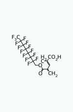 C=C(C=C(C)C(=O)O)C(=O)OCC(F)(F)C(F)(F)C(F)(F)C(F)(F)C(F)(F)C(F)(F)C(F)(F)F